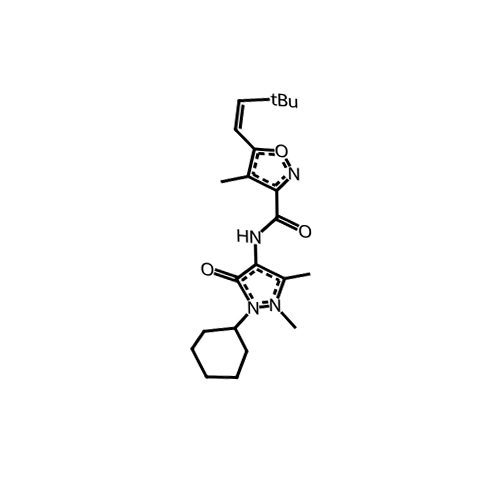 Cc1c(C(=O)Nc2c(C)n(C)n(C3CCCCC3)c2=O)noc1/C=C\C(C)(C)C